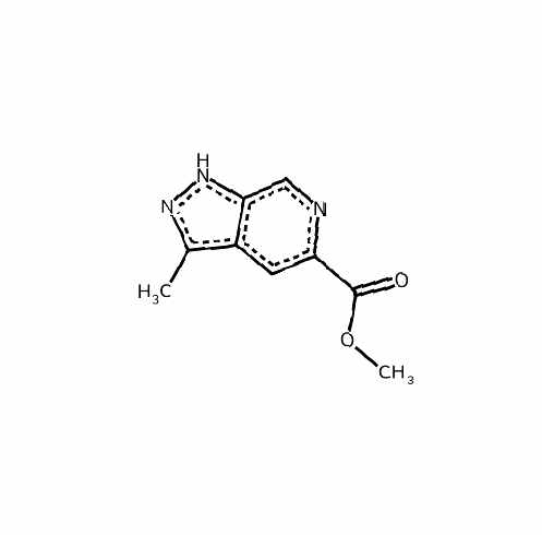 COC(=O)c1cc2c(C)n[nH]c2cn1